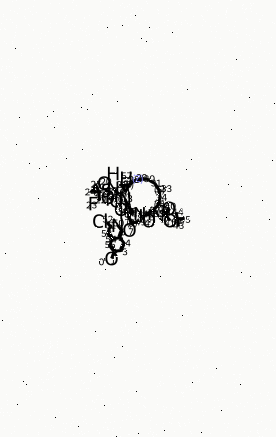 COc1ccc2c(O[C@@H]3C[C@H]4C(=O)N[C@]5(C(=O)NS(=O)(=O)C6(CF)CC6)C[C@H]5/C=C\CC[C@H](C)C[C@@H](C)[C@H](NC(=O)OC(C)(C)C)C(=O)N4C3)nc(Cl)cc2c1